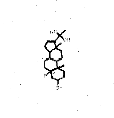 CC(O)(O)C1CCC2C3CC[C@H]4CC(O)CCC4(C)C3CCC21C